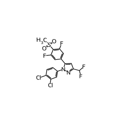 CS(=O)(=O)c1c(F)cc(-c2cc(C(F)F)nn2-c2ccc(Cl)c(Cl)c2)cc1F